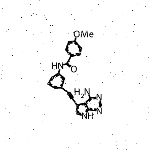 COc1ccc(C(=O)Nc2cccc(C#Cc3c[nH]c4ncnc(N)c34)c2)cc1